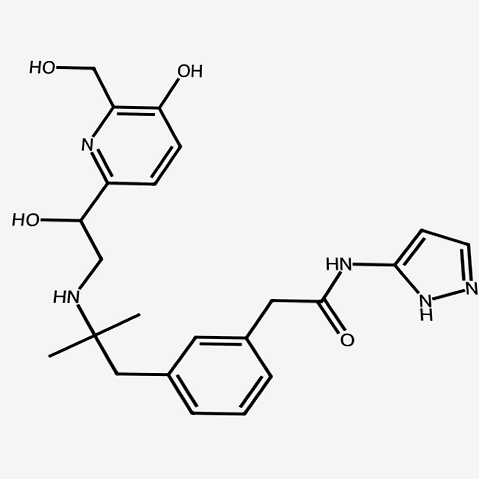 CC(C)(Cc1cccc(CC(=O)Nc2ccn[nH]2)c1)NCC(O)c1ccc(O)c(CO)n1